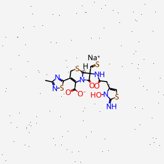 Cc1nsc(C2=C(C(=O)[O-])N3C(=O)C(C=S)(NC(=O)Cc4csc(=N)n4O)[C@@H]3SC2)n1.[Na+]